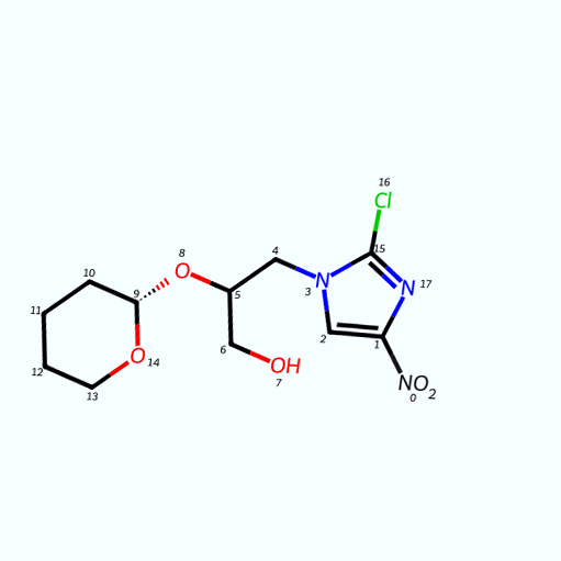 O=[N+]([O-])c1cn(CC(CO)O[C@H]2CCCCO2)c(Cl)n1